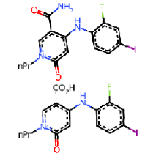 CCCn1cc(C(=O)O)c(Nc2ccc(I)cc2F)cc1=O.CCCn1cc(C(N)=O)c(Nc2ccc(I)cc2F)cc1=O